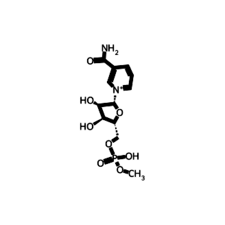 COP(=O)(O)OC[C@H]1O[C@@H]([n+]2cccc(C(N)=O)c2)[C@H](O)[C@@H]1O